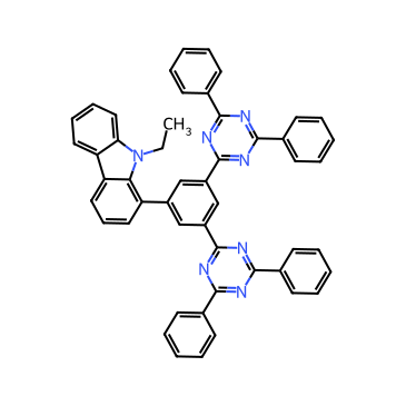 CCn1c2ccccc2c2cccc(-c3cc(-c4nc(-c5ccccc5)nc(-c5ccccc5)n4)cc(-c4nc(-c5ccccc5)nc(-c5ccccc5)n4)c3)c21